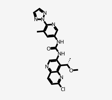 CO[C@@H](C)c1c(NC(=O)Nc2cnc(-n3nccn3)c(C)c2)cnc2ccc(Cl)nc12